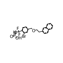 O=[PH](O)OC(F)(F)c1ccc(COCCc2ccc3ccccc3c2)cc1Br